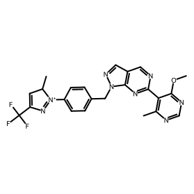 COc1ncnc(C)c1-c1ncc2cnn(Cc3ccc([N+]4=NC(C(F)(F)F)=CC4C)cc3)c2n1